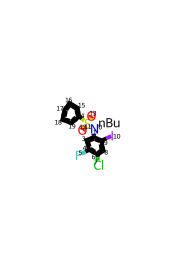 CCCCN(c1cc(F)c(Cl)cc1I)S(=O)(=O)c1ccccc1